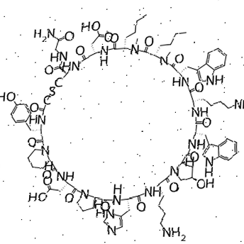 CCCC[C@H]1C(=O)N(C)[C@@H](CCCC)C(=O)N[C@@H](CC(=O)O)C(=O)N[C@H](C(=O)NCC(N)=O)CSCC(=O)N[C@@H](Cc2ccc(O)cc2)C(=O)N2CCCC[C@H]2C(=O)N[C@@H](CC(=O)O)C(=O)N2CCC[C@H]2C(=O)N[C@@H](Cc2cnc[nH]2)C(=O)N[C@@H](CCCCN)C(=O)N2C[C@H](O)C[C@H]2C(=O)N[C@@H](Cc2c[nH]c3ccccc23)C(=O)N[C@@H](CCCCN)C(=O)N[C@@H](Cc2c[nH]c3ccccc23)C(=O)N1C